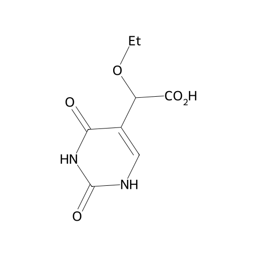 CCOC(C(=O)O)c1c[nH]c(=O)[nH]c1=O